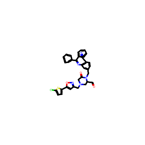 N#Cc1ccc(CN2C(=O)CN(Cc3cc(-c4ccc(Cl)s4)on3)CC2C=O)cc1N=C(c1ccccc1)c1ccccc1